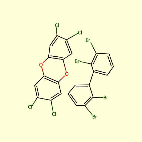 Brc1cccc(-c2cccc(Br)c2Br)c1Br.Clc1cc2c(cc1Cl)Oc1cc(Cl)c(Cl)cc1O2